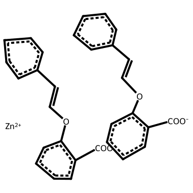 O=C([O-])c1ccccc1OC=Cc1ccccc1.O=C([O-])c1ccccc1OC=Cc1ccccc1.[Zn+2]